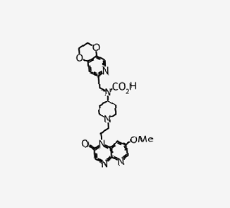 COc1cnc2ncc(=O)n(CCN3CCC(N(Cc4cc5c(cn4)OCCO5)C(=O)O)CC3)c2c1